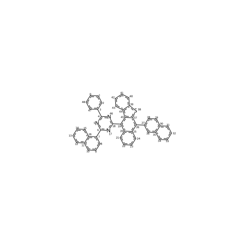 c1ccc(-c2nc(-c3cccc4ccccc34)nc(-c3c4ccccc4c(-c4ccc5ccccc5c4)c4sc5ccccc5c34)n2)cc1